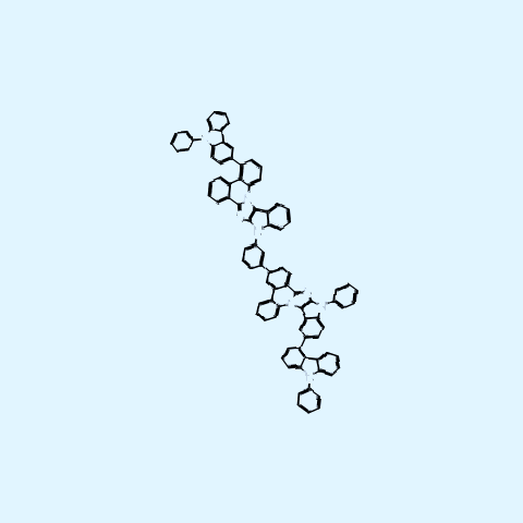 c1ccc(-n2c3ccccc3c3cc(-c4cccc5c4c4ccccc4c4nc6c(c7ccccc7n6-c6cccc(-c7ccc8c(c7)c7ccccc7n7c8nc8c7c7cc(-c9cccc%10c9c9ccccc9n%10-c9ccccc9)ccc7n8-c7ccccc7)c6)n54)ccc32)cc1